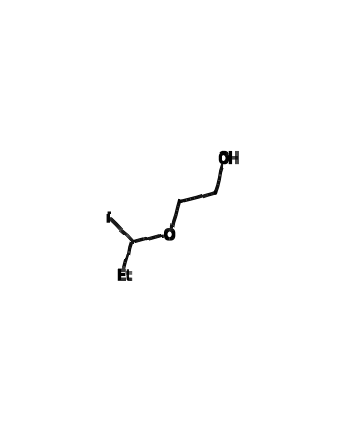 CCC(I)OCCO